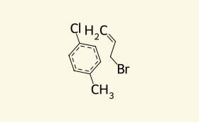 C=CCBr.Cc1ccc(Cl)cc1